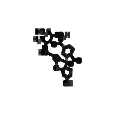 NC(=O)C(OC(=O)c1ccc2c(c1)C1(OC2=O)c2ccc(O)cc2Oc2cc(O)ccc21)C(S(=O)(=O)O)S(=O)(=O)O